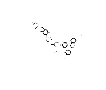 COc1cc([C@H]2COc3cc(O)ccc3[C@H]2c2ccc(N3CCC(CN4CCN(c5cc6c(cc5F)C(=O)N([C@H]5CCC(=O)NC5=O)C6)CC4)CC3)c(F)c2)ccc1F